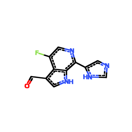 O=Cc1c[nH]c2c(-c3cnc[nH]3)ncc(F)c12